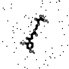 C=C(C)C(=O)OCCOC(=O)CCC(=O)N1CCN(C)CC1C